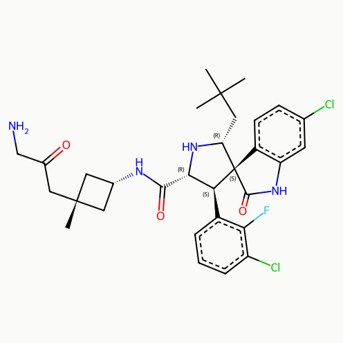 CC(C)(C)C[C@H]1N[C@@H](C(=O)N[C@H]2C[C@@](C)(CC(=O)CN)C2)[C@H](c2cccc(Cl)c2F)[C@@]12C(=O)Nc1cc(Cl)ccc12